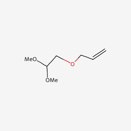 C=CCOCC(OC)OC